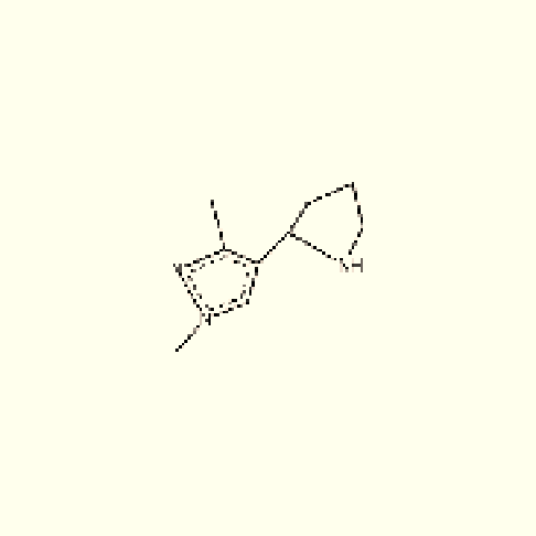 Cc1nn(C)cc1C1CCCN1